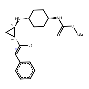 CC/C(=C\c1ccccc1)[C@@H]1C[C@H]1N[C@H]1CC[C@H](NC(=O)OC(C)(C)C)CC1